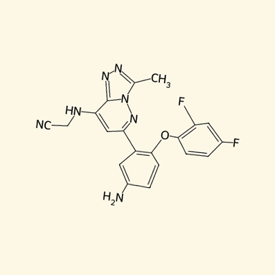 Cc1nnc2c(NCC#N)cc(-c3cc(N)ccc3Oc3ccc(F)cc3F)nn12